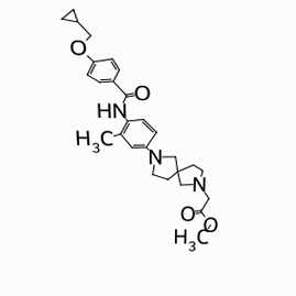 COC(=O)CN1CCC2(CCN(c3ccc(NC(=O)c4ccc(OCC5CC5)cc4)c(C)c3)C2)C1